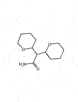 NC(=O)C(C1CCCCO1)C1CCCCO1